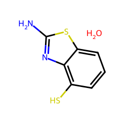 Nc1nc2c(S)cccc2s1.O